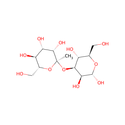 C[C@]1(O[C@@H]2[C@H](O)[C@@H](O)O[C@H](CO)[C@H]2O)O[C@H](CO)[C@@H](O)[C@H](O)[C@@H]1O